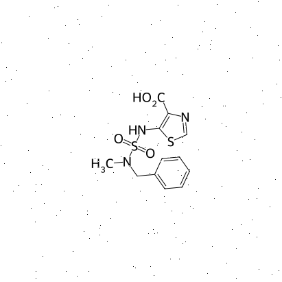 CN(Cc1ccccc1)S(=O)(=O)Nc1scnc1C(=O)O